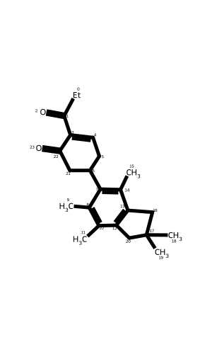 CCC(=O)C1=CCC(c2c(C)c(C)c3c(c2C)CC(C)(C)C3)CC1=O